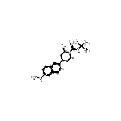 COc1ccc2cc(C3CCN(C(=O)OC(C)(C)C)C(C)C3)ccc2c1